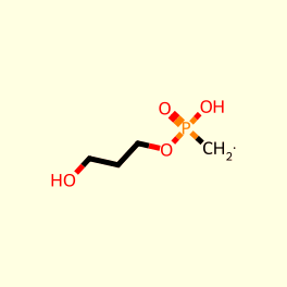 [CH2]P(=O)(O)OCCCO